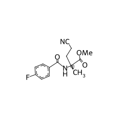 COC(=O)[C@@](C)(CCC#N)NC(=O)c1ccc(F)cc1